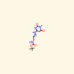 CN(/N=C/CNC(=O)OC(C)(C)C)C1=NC(=O)N(C)C(=O)C1